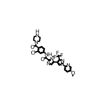 COc1ccc(-n2cc(-c3cnc(C(=O)Nc4ccc(C(=O)N5CCNCC5)c(Cl)c4)n3C)c(C(F)(F)F)n2)nc1